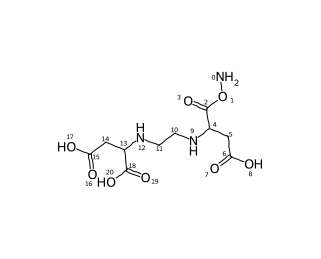 NOC(=O)C(CC(=O)O)NCCNC(CC(=O)O)C(=O)O